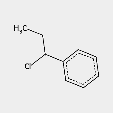 CC[C](Cl)c1ccccc1